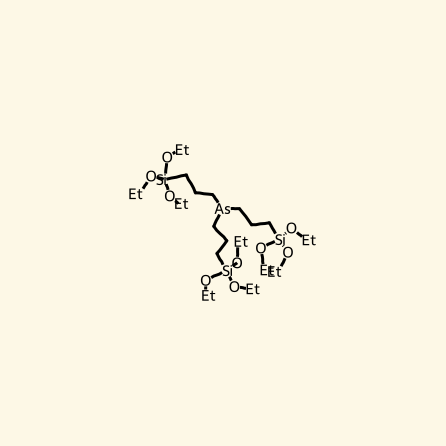 CCO[Si](CCC[As](CCC[Si](OCC)(OCC)OCC)CCC[Si](OCC)(OCC)OCC)(OCC)OCC